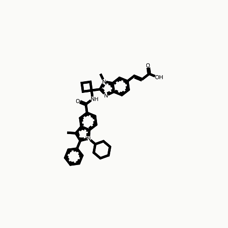 Cc1c(-c2ccccc2)n(C2CCCCC2)c2ccc(C(=O)NC3(c4nc5ccc(/C=C/C(=O)O)cc5n4C)CCC3)cc12